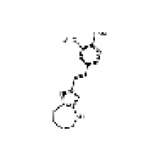 COc1ccc(C=Cc2nc3c(s2)NCCCC3)cc1OC